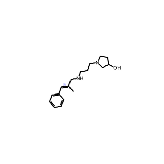 C/C(=C\c1ccccc1)CNCCCN1CCC(O)C1